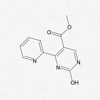 COC(=O)c1cnc(O)nc1-c1ccccn1